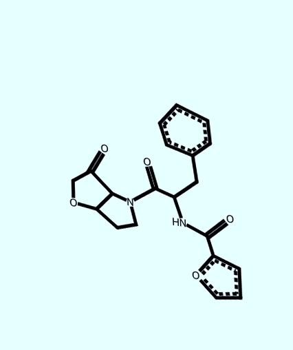 O=C(NC(Cc1ccccc1)C(=O)N1CCC2OCC(=O)C21)c1ccco1